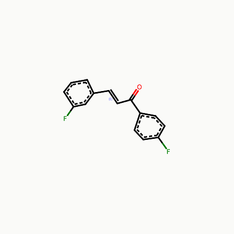 O=C(/C=C/c1cccc(F)c1)c1ccc(F)cc1